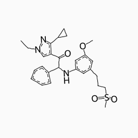 CCn1cc(C(=O)C(Nc2cc(CCCS(C)(=O)=O)cc(OC)c2)c2ccccc2)c(C2CC2)n1